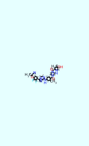 Cc1cc(Nc2nccn3c(-c4ccc(O[C@@H](C)C#N)c(F)c4F)cnc23)ccc1C(=O)N1CCN(C(=O)[C@@H]2C[C@](C)(O)CN2)CC1